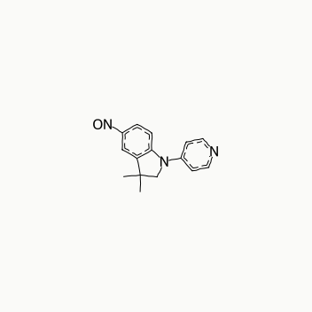 CC1(C)CN(c2ccncc2)c2ccc(N=O)cc21